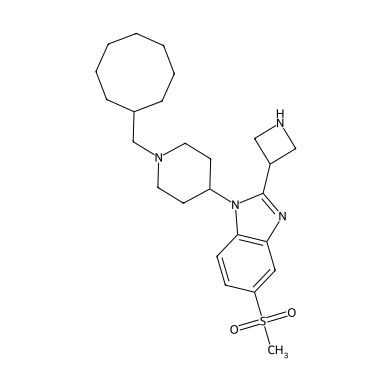 CS(=O)(=O)c1ccc2c(c1)nc(C1CNC1)n2C1CCN(CC2CCCCCCC2)CC1